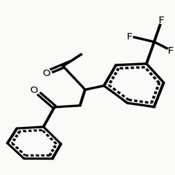 CC(=O)C(CC(=O)c1ccccc1)c1cccc(C(F)(F)F)c1